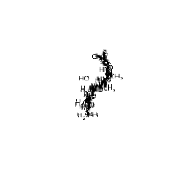 Cl.Cn1cc(NC(=O)c2cc(NC(=O)c3ccc(N(CCCl)CCCl)cc3)nn2C)cc1C(=O)Nc1cc(C(=O)Nc2cc(C(=O)NCCC(=N)N)n(C)n2)n(C)n1